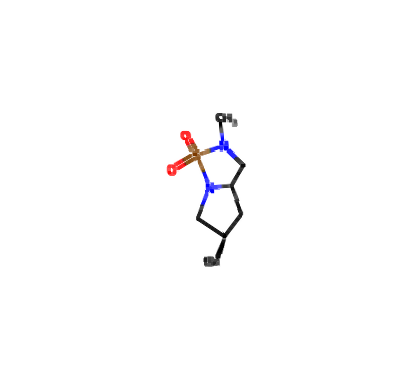 CN1CC2C[C@@H](C(C)(C)C)CN2S1(=O)=O